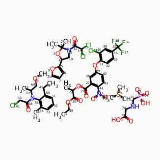 CC1(C)OC(c2ccco2)CN1C(=O)C(Cl)Cl.CCOC(=O)C(C)OC(=O)c1cc(Oc2ccc(C(F)(F)F)cc2Cl)ccc1[N+](=O)[O-].CCc1cccc(C)c1N(C(=O)CCl)C(C)COC.C[S+](C)C.O=C(O)CNCP(=O)([O-])O